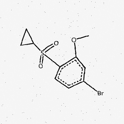 COc1cc(Br)ccc1S(=O)(=O)C1CC1